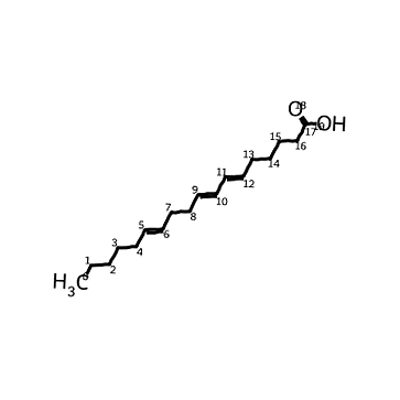 CCCCCC=CCCC=CC=CCCCCC(=O)O